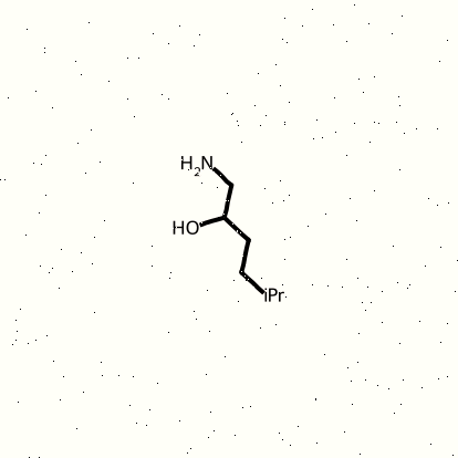 CC(C)CCC(O)CN